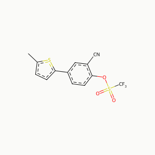 Cc1ccc(-c2ccc(OS(=O)(=O)C(F)(F)F)c(C#N)c2)s1